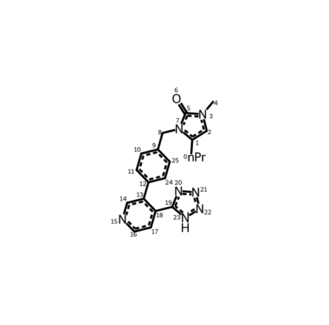 CCCc1cn(C)c(=O)n1Cc1ccc(-c2cnccc2-c2nnn[nH]2)cc1